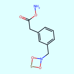 NOC(=O)Cc1cccc(CN2OSO2)c1